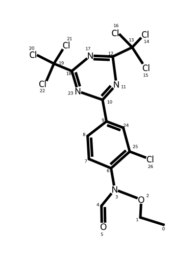 CCON(C=O)c1ccc(-c2nc(C(Cl)(Cl)Cl)nc(C(Cl)(Cl)Cl)n2)cc1Cl